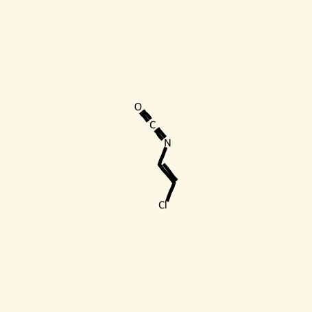 O=C=NC=CCl